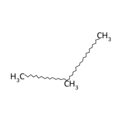 CCCCCCCCCCCCCCCCCCCCC(C)CCCCCCCCCCCCCCCC